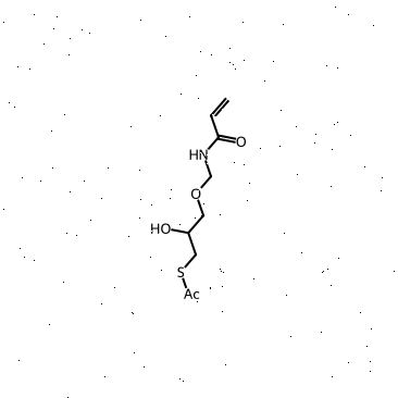 C=CC(=O)NCOCC(O)CSC(C)=O